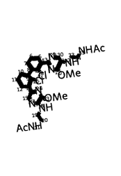 COc1nc(-c2cccc(-c3cccc(-c4cnc(NCCNC(C)=O)c(OC)n4)c3Cl)c2Cl)ncc1NCCNC(C)=O